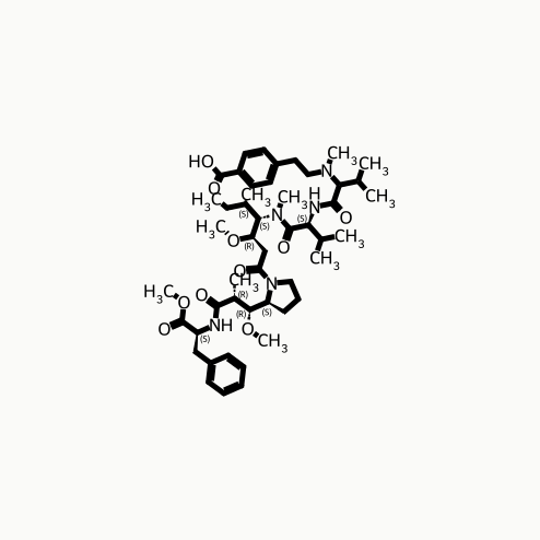 CC[C@H](C)[C@@H]([C@@H](CC(=O)N1CCC[C@H]1[C@H](OC)[C@@H](C)C(=O)N[C@@H](Cc1ccccc1)C(=O)OC)OC)N(C)C(=O)[C@@H](NC(=O)C(C(C)C)N(C)CCc1ccc(C(=O)O)cc1)C(C)C